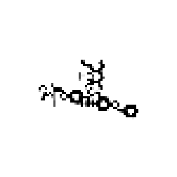 CCCCC(CC)CC(CSc1cc(OCc2ccccc2)ccc1NC(=O)c1ccc(OC[C@H](C)NC(C)=O)cc1)C(=O)O